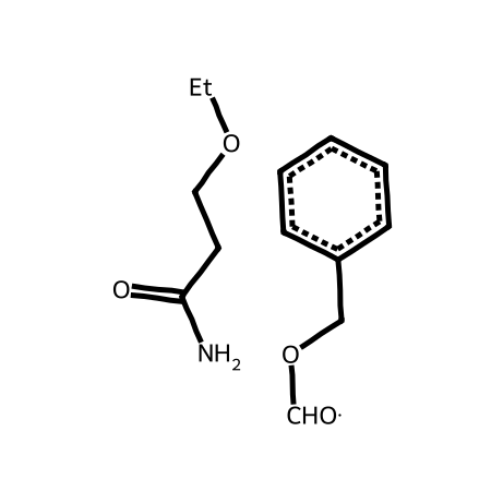 CCOCCC(N)=O.O=[C]OCc1ccccc1